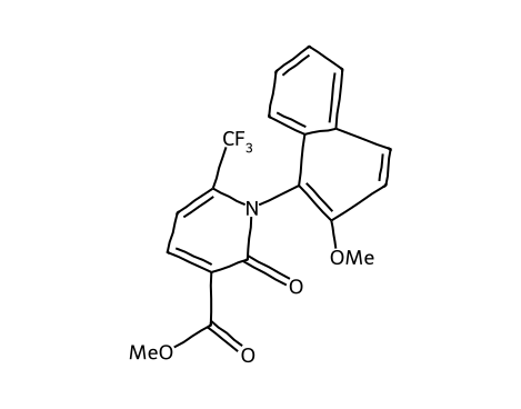 COC(=O)c1ccc(C(F)(F)F)n(-c2c(OC)ccc3ccccc23)c1=O